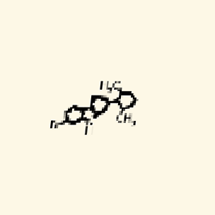 CC1=CC=CC(C)C1c1ccc2c(c1)[nH]c1cc(Br)ccc12